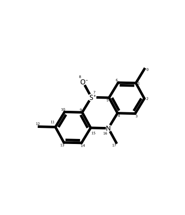 Cc1ccc2c(c1)[S+]([O-])c1cc(C)ccc1N2C